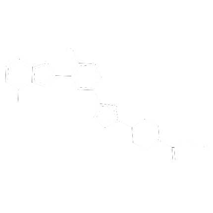 CC(C)(C)OC(=O)N1CCC(n2ccc(-c3cnc(N)c(-c4nc5cccc(Br)c5s4)c3)n2)CC1